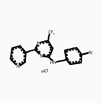 CC(=O)c1ccc(Nc2cc(C(F)(F)F)nc(-c3cccnc3)n2)cc1.Cl